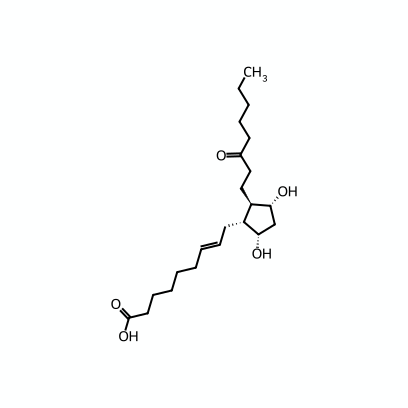 CCCCCC(=O)CC[C@@H]1[C@@H](CC=CCCCCCC(=O)O)[C@@H](O)C[C@H]1O